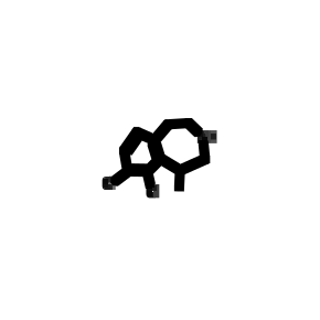 CC1CNCCc2ccc(Cl)c(Cl)c21